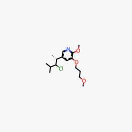 COCCCOc1cc([C@@H](C)C(Cl)C(C)C)cnc1OC